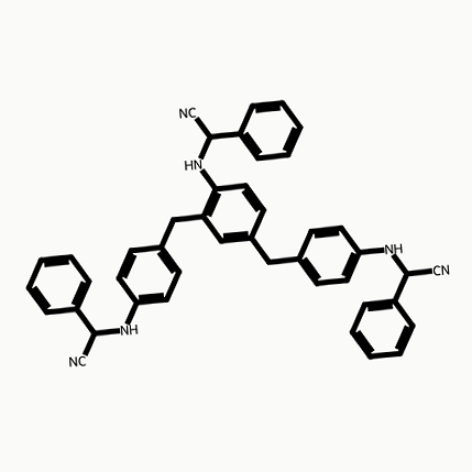 N#CC(Nc1ccc(Cc2ccc(NC(C#N)c3ccccc3)c(Cc3ccc(NC(C#N)c4ccccc4)cc3)c2)cc1)c1ccccc1